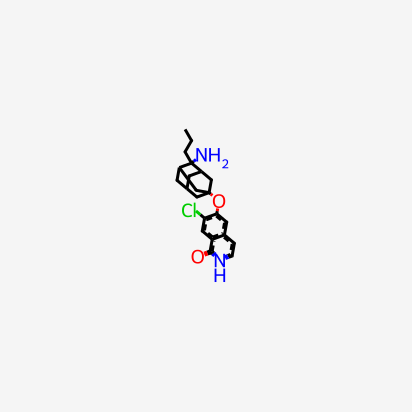 CCCC1(N)C2CC3CC1CC(Oc1cc4cc[nH]c(=O)c4cc1Cl)(C3)C2